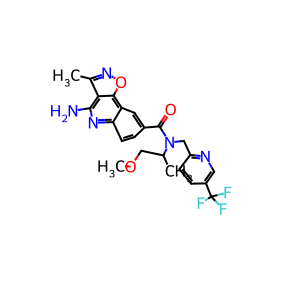 COCC(C)N(Cc1ccc(C(F)(F)F)cn1)C(=O)c1ccc2nc(N)c3c(C)noc3c2c1